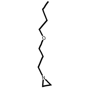 CCCCOCCCN1CC1